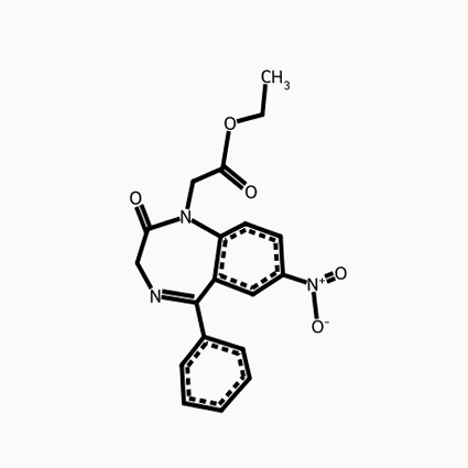 CCOC(=O)CN1C(=O)CN=C(c2ccccc2)c2cc([N+](=O)[O-])ccc21